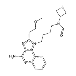 COCCc1nc2c(N)nc3ccccc3c2n1CCCCN(C=O)C1CSC1